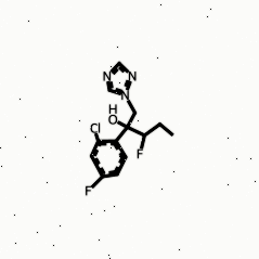 CCC(F)C(O)(Cn1cncn1)c1ccc(F)cc1Cl